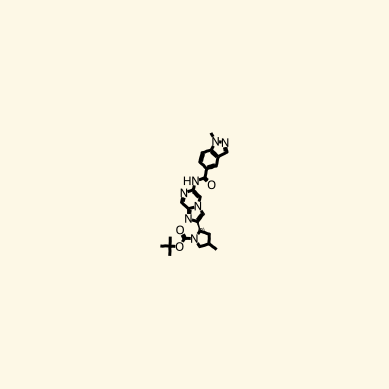 CC1C[C@H](c2cn3cc(NC(=O)c4ccc5c(cnn5C)c4)ncc3n2)N(C(=O)OC(C)(C)C)C1